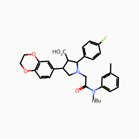 CCCCN(C(=O)CN1CC(c2ccc3c(c2)OCCO3)C(C(=O)O)C1c1ccc(F)cc1)c1cccc(C)c1